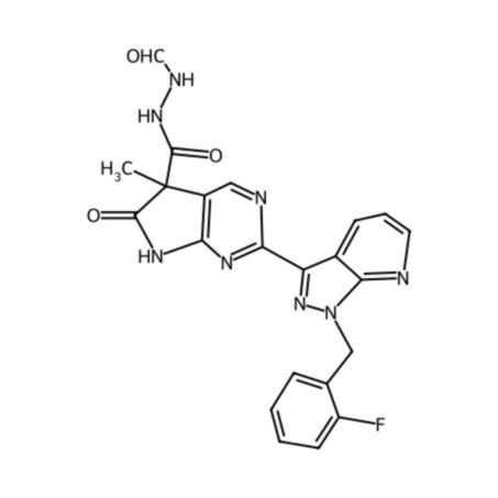 CC1(C(=O)NNC=O)C(=O)Nc2nc(-c3nn(Cc4ccccc4F)c4ncccc34)ncc21